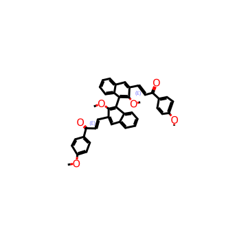 COc1ccc(C(=O)/C=C/c2cc3ccccc3c(-c3c(OC)c(/C=C/C(=O)c4ccc(OC)cc4)cc4ccccc34)c2OC)cc1